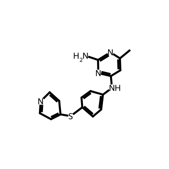 Cc1cc(Nc2ccc(Sc3ccncc3)cc2)nc(N)n1